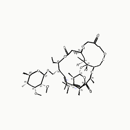 CC[C@H]1OC(=O)C[C@H]2OCC(=O)COCCC(C[C@@H](C)C(=O)/C=C/C(C)=C/[C@@H]1CO[C@@H]1O[C@H](C)[C@@H](C)[C@@H](OC)[C@H]1OC)[C@H](O[C@@H]1O[C@H](C)[C@@H](C)[C@H](N(C)C)[C@H]1C)[C@H]2C